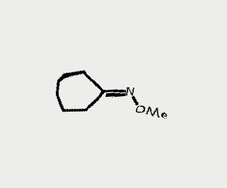 [CH2]ON=C1CCCC1